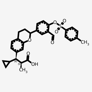 Cc1ccc(S(=O)(=O)Oc2ccc(C3CCc4ccc([C@H](C5CC5)[C@H](C)C(=O)O)cc4O3)cc2C=O)cc1